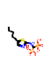 CCCCc1cnc(NC(P(=O)(O)O)P(=O)(O)O)s1